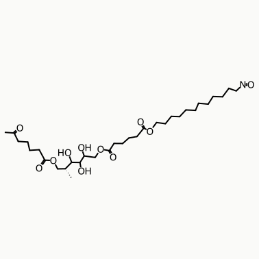 CC(=O)CCCCC(=O)OC[C@@H](C)C(O)C(O)C(O)COC(=O)CCCCC(=O)OCCCCCCCCCCCCN=O